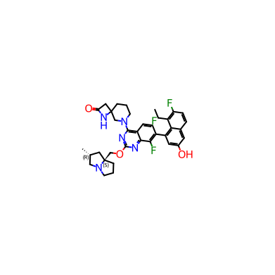 CCc1c(F)ccc2cc(O)cc(-c3c(F)cc4c(N5CCCC6(CC(=O)N6)C5)nc(OC[C@@]56CCCN5C[C@H](C)C6)nc4c3F)c12